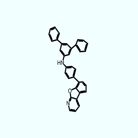 c1ccc(-c2cc(Nc3ccc(-c4cccc5c4oc4ncccc45)cc3)cc(-c3ccccc3)c2)cc1